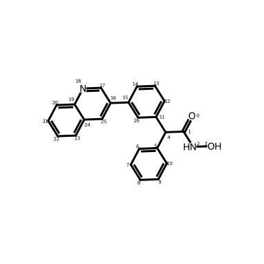 O=C(NO)C(c1ccccc1)c1cccc(-c2cnc3ccccc3c2)c1